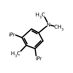 Cc1c(C(C)C)cc(N(C)C)cc1C(C)C